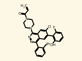 C=CC(=O)N1CCN(c2nnc(-c3ccccc3C(C)C)c3cc(-c4c(O)cccc4F)c(Cl)cc23)CC1